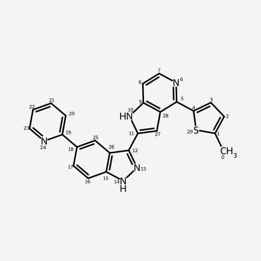 Cc1ccc(-c2nccc3[nH]c(-c4n[nH]c5ccc(-c6ccccn6)cc45)cc23)s1